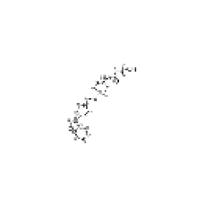 CC(C)(O)CC(=O)N[C@H]1CC[C@H](CCN2CCC(c3coc4ccccc34)CC2)CC1